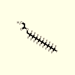 C=CC(=O)OCC(F)(F)C(F)(F)C(F)(F)C(F)(F)C(F)(F)C(F)(F)C(F)(F)C(F)(F)C(F)(F)F